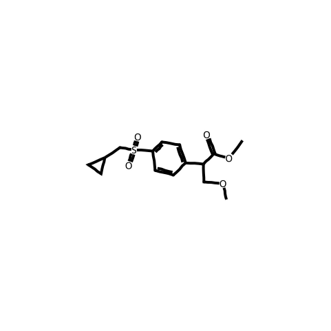 COCC(C(=O)OC)c1ccc(S(=O)(=O)CC2CC2)cc1